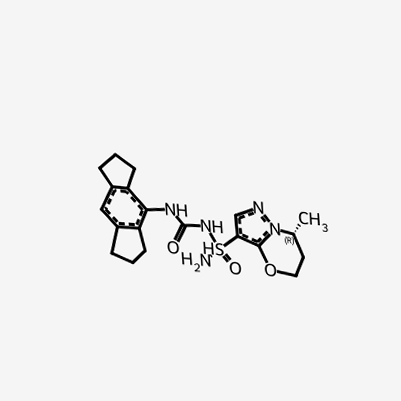 C[C@@H]1CCOc2c([SH](N)(=O)NC(=O)Nc3c4c(cc5c3CCC5)CCC4)cnn21